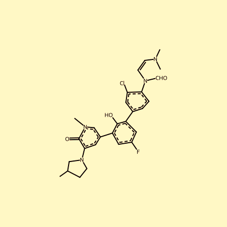 CC1CCN(c2cc(-c3cc(F)cc(-c4ccc(N(C=O)/C=C\N(C)C)c(Cl)c4)c3O)cn(C)c2=O)C1